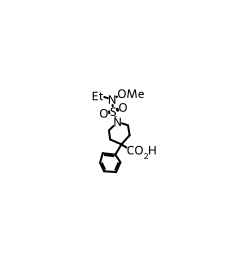 CCN(OC)S(=O)(=O)N1CCC(C(=O)O)(c2ccccc2)CC1